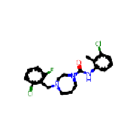 Cc1c(Cl)cccc1NC(=O)N1CCCN(Cc2c(F)cccc2Cl)CC1